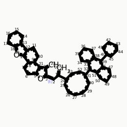 C=C(/C=c1/oc2ccc3c(ccc4c5ccccc5oc43)c2c1=C)c1ccccccc(-c2c3ccccc3c(-c3ccccc3)c3ccccc23)cc1